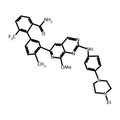 CCN1CCN(c2ccc(Nc3ncc4cc(-c5cc(-c6c(C(N)=O)cccc6C(F)(F)F)ccc5C)nc(OC)c4n3)cc2)CC1